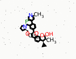 COC[C@H]1CCCN1Cc1cc(C2CCc3ccc([C@H](C4CC4)[C@H](C)C(=O)O)cc3O2)ccc1-c1cc(C)ncc1F